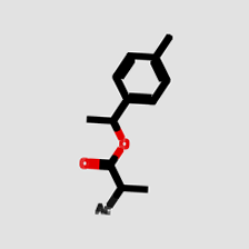 CC(=O)C(C)C(=O)OC(C)c1ccc(C)cc1